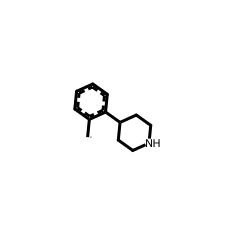 [CH2]c1ccccc1C1CCNCC1